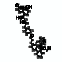 O=C(O)N(c1cc(CCCOc2ccc(CCNC[C@H](O)c3ccc(O)c4[nH]c(=O)ccc34)cc2)ccc1-c1ccccc1)C1CN2CCC1CC2